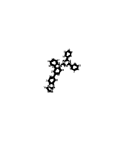 c1ccc(-c2nc(-c3ccccc3)nc(-n3c4ccccc4c4cc(-c5ccc6c(c5)sc5nccn56)ccc43)n2)cc1